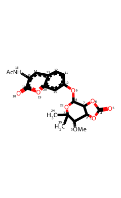 COC1C2OC(=O)OC2C(Oc2ccc3cc(NC(C)=O)c(=O)oc3c2)OC1(C)C